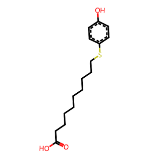 O=C(O)CCCCCCCCCSc1ccc(O)cc1